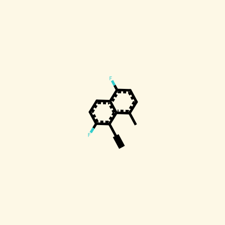 C#Cc1c(F)ccc2c(F)ccc(C)c12